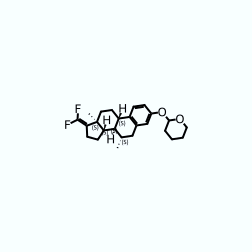 C[C@H]1Cc2cc(OC3CCCCO3)ccc2[C@H]2CC[C@]3(C)C(=C(F)F)CC[C@H]3[C@@H]21